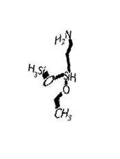 CCO[SiH](CCCN)O[SiH3]